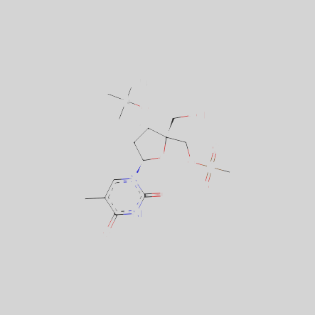 Cc1cn([C@H]2C[C@H](O[Si](C)(C)C(C)(C)C)[C@](CO)(COS(C)(=O)=O)O2)c(=O)[nH]c1=O